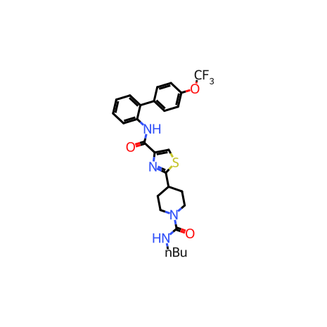 CCCCNC(=O)N1CCC(c2nc(C(=O)Nc3ccccc3-c3ccc(OC(F)(F)F)cc3)cs2)CC1